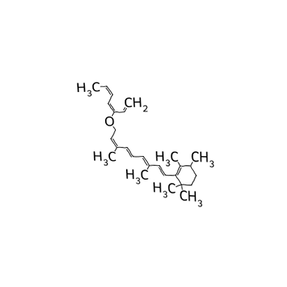 C=C/C(=C\C=C/C)OC\C=C(C)/C=C/C=C(C)/C=C/C1=C(C)C(C)CCC1(C)C